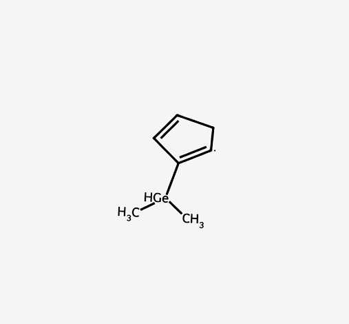 [CH3][GeH]([CH3])[C]1=[C]CC=C1